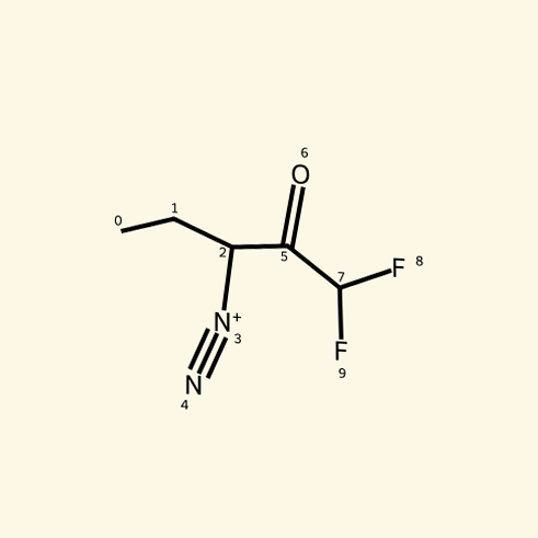 CCC([N+]#N)C(=O)C(F)F